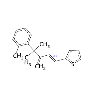 C=C(/C=C/c1cccs1)C(C)(C)c1ccccc1C